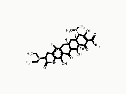 CCN(CC)C1Cc2c(F)c3c(c(O)c2NC1=O)C(=O)C1=C(O)[C@]2(O)C(=O)C(C(N)=O)=C(O)[C@@H](N(C)C)[C@@H]2C[C@@H]1C3